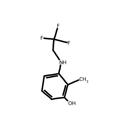 Cc1c(O)cccc1NCC(F)(F)F